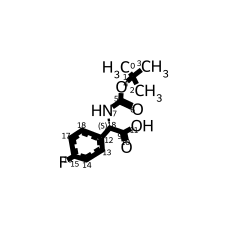 CC(C)(C)OC(=O)N[C@H](C(=O)O)c1ccc(F)cc1